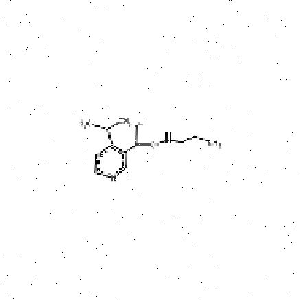 CCCNCC(O)c1cnccc1C(C)C